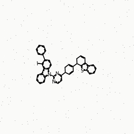 Ic1c(-c2ccccc2)ccc2c1c1ccccc1n2-c1nccc(C2C=CC(C3CC=Cc4c3sc3ccccc43)=CC2)n1